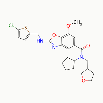 COc1cc(C(=O)N(CC2CCOC2)C2CCCC2)cc2nc(NCc3ccc(Cl)s3)oc12